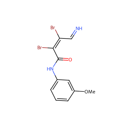 COc1cccc(NC(=O)/C(Br)=C(/Br)C=N)c1